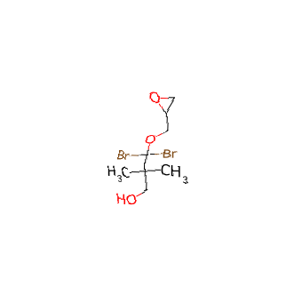 CC(C)(CO)C(Br)(Br)OCC1CO1